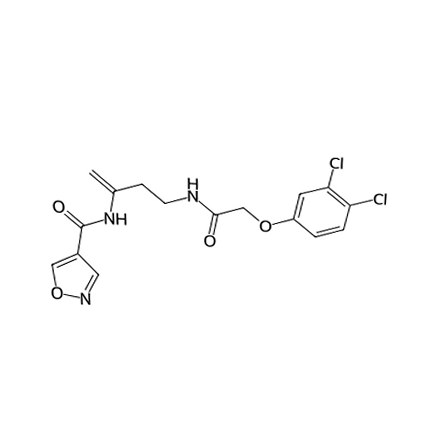 C=C(CCNC(=O)COc1ccc(Cl)c(Cl)c1)NC(=O)c1cnoc1